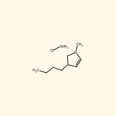 CCCCN1C=CN(C)C1.[Cl][SnH3]